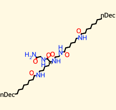 CCCCCCCCCCCCCCCCCC(=O)NCCCCCC(=O)NCC(=O)N[C@@H](CCCCNC(=O)CCCCCCCCCCCCCCCCC)C(=O)NCC(N)=O